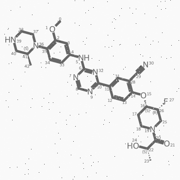 COc1cc(Nc2ncnc(-c3ccc(O[C@H]4CCN(C(=O)[C@H](C)O)C[C@H]4F)c(C#N)c3)n2)ccc1N1CCNC[C@@H]1C